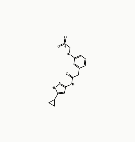 O=C(Cc1cccc(NC[SH](=O)=O)c1)Nc1cc(C2CC2)[nH]n1